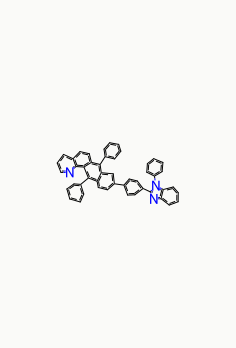 c1ccc(-c2c3cc(-c4ccc(-c5nc6ccccc6n5-c5ccccc5)cc4)ccc3c(-c3ccccc3)c3c2ccc2cccnc23)cc1